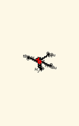 CC(C)(C)C(=O)NCCCCCCCc1c(CCCCCCCNC(=O)C(C)(C)C)c2c(c(CCCCCCCNC(=O)C(C)(C)C)c1C(N)=O)C1c3ccc(C(N)=O)cc3C2c2ccc(C(N)=O)cc21